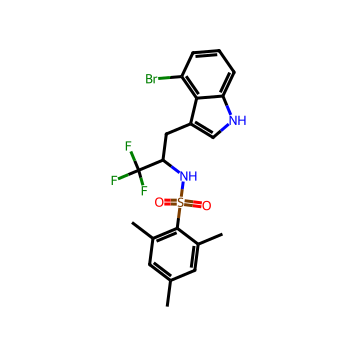 Cc1cc(C)c(S(=O)(=O)NC(Cc2c[nH]c3cccc(Br)c23)C(F)(F)F)c(C)c1